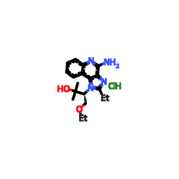 CCOC[C@@H](n1c(CC)nc2c(N)nc3ccccc3c21)C(C)(C)O.Cl